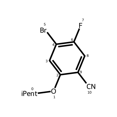 CCCC(C)Oc1cc(Br)c(F)cc1C#N